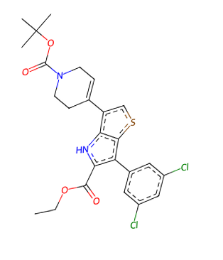 CCOC(=O)c1[nH]c2c(C3=CCN(C(=O)OC(C)(C)C)CC3)csc2c1-c1cc(Cl)cc(Cl)c1